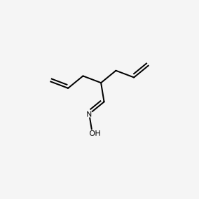 C=CCC(C=NO)CC=C